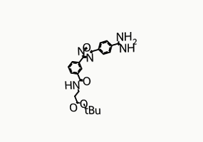 CC(C)(C)OC(=O)CCNC(=O)c1cccc(-c2noc(-c3ccc(C(=N)N)cc3)n2)c1